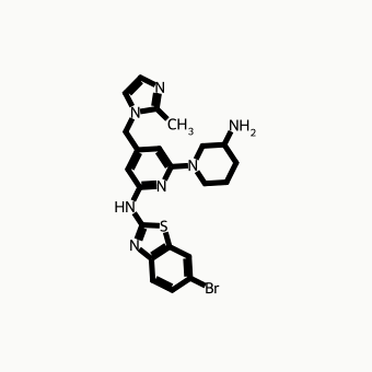 Cc1nccn1Cc1cc(Nc2nc3ccc(Br)cc3s2)nc(N2CCCC(N)C2)c1